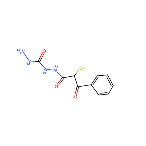 NNC(=O)NNC(=O)C(S)C(=O)c1ccccc1